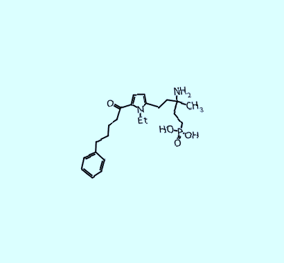 CCn1c(CCC(C)(N)CCP(=O)(O)O)ccc1C(=O)CCCCc1ccccc1